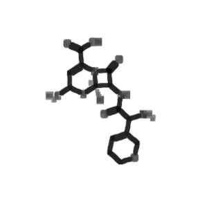 CC1C=C(C(=O)O)N2C(=O)C(NC(=O)C(N)C3=CCCOC3)[C@H]2S1